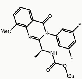 COc1cccc2c(=O)n(-c3cc(F)cc(F)c3)c([C@H](C)NC(=O)OC(C)(C)C)nc12